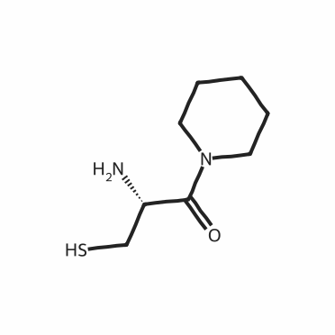 N[C@@H](CS)C(=O)N1CCCCC1